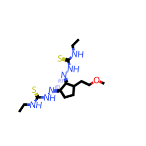 CCNC(=S)N/N=C1\CCC(CCOC)\C1=N/NC(=S)NCC